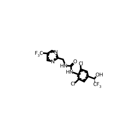 O=C(NCc1ncc(C(F)(F)F)cn1)Nc1c(Cl)cc([C@H](O)C(F)(F)F)cc1Cl